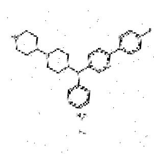 Cl.Cl.Fc1ccc(-c2ccc(C(c3ccccc3)C3CCN(C4CCNCC4)CC3)cc2)cc1.O